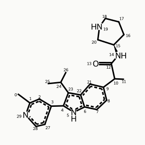 Cc1cc(-c2[nH]c3ccc(C(C)C(=O)N[C@@H]4CCCNC4)cc3c2C(C)C)ccn1